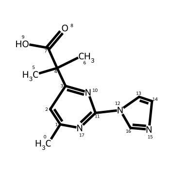 Cc1cc(C(C)(C)C(=O)O)nc(-n2ccnc2)n1